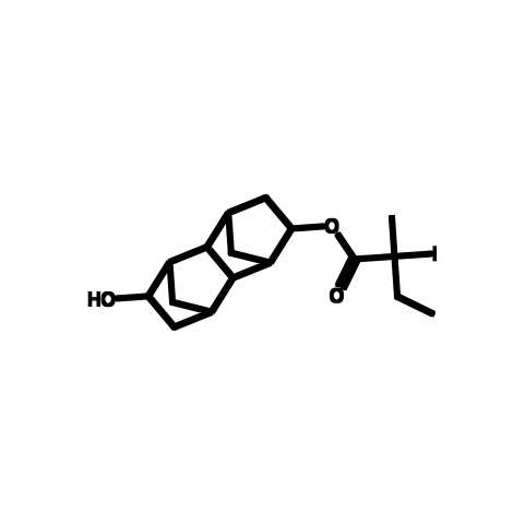 CCC(C)(I)C(=O)OC1CC2CC1C1C3CC(O)C(C3)C21